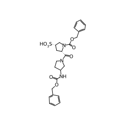 O=C(NC1CCN(C(=O)[C@@H]2C[C@H](S(=O)(=O)O)CN2C(=O)OCc2ccccc2)C1)OCc1ccccc1